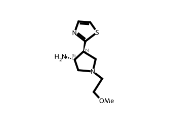 COCCN1C[C@H](c2nccs2)[C@@H](N)C1